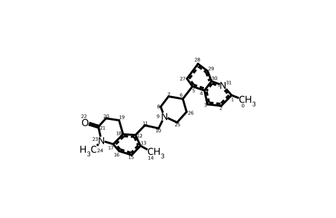 Cc1ccc2c(C3CCN(CCc4c(C)ccc5c4CCC(=O)N5C)CC3)cccc2n1